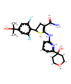 CC(C)(O)c1cc(F)c(C2CC(C(N)=O)=C(Nc3cccc(C4(O)CCOCC4)n3)S2)c(F)c1